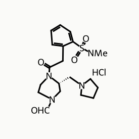 CNS(=O)(=O)c1ccccc1CC(=O)N1CCN(C=O)C[C@H]1CN1CCCC1.Cl